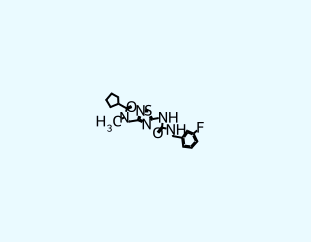 CN(Cc1nsc(NC(=O)NCc2cccc(F)c2)n1)C(=O)C1CCCC1